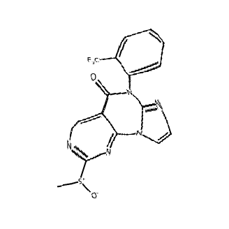 C[S+]([O-])c1ncc2c(=O)n(-c3ccccc3C(F)(F)F)c3nccn3c2n1